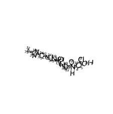 O=C(Nc1ccc(O)c(Cl)c1)[C@@H]1CCN(CC(=O)N2CCN(c3ccc(-c4ncc(C5CC5)cn4)cc3)CC2)C1